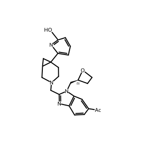 CC(=O)c1ccc2nc(CN3CCC4(c5cccc(O)n5)CC4C3)n(C[C@@H]3CCO3)c2c1